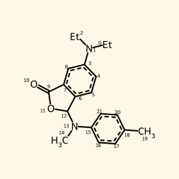 CCN(CC)c1ccc2c(c1)C(=O)OC2N(C)c1ccc(C)cc1